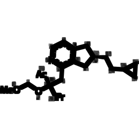 COCO[C@@](Cc1nccc2c1C[C@H](CCC1CC1)C2)(C(C)=O)C(C)C